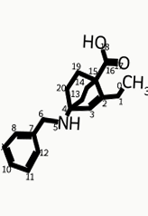 CCC1=CC2(NCc3ccccc3)CCC1(C(=O)O)CC2